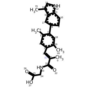 C/C(=C\c1cc(C)c(-c2ccc3[nH]cc(C)c3c2)cc1C)C(=O)NCC(=O)O